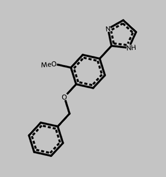 COc1cc(-c2ncc[nH]2)ccc1OCc1ccccc1